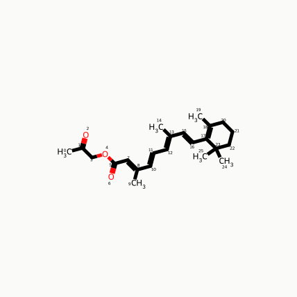 CC(=O)COC(=O)C=C(C)C=CC=C(C)C=CC1=C(C)CCCC1(C)C